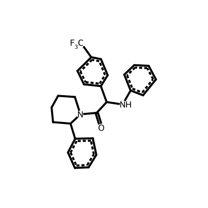 O=C(C(Nc1ccccc1)c1ccc(C(F)(F)F)cc1)N1CCCCC1c1ccccc1